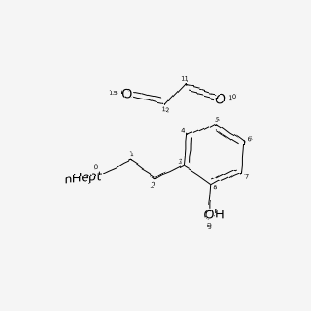 CCCCCCCCCc1ccccc1O.O=CC=O